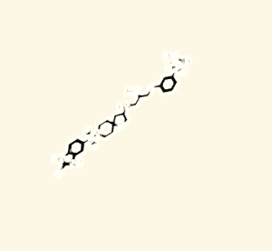 CNS(=O)(=O)c1cccc(OCC(O)CNC2COC3(CCN(S(=O)(=O)c4ccc5[nH]c(=O)[nH]c5c4)CC3)C2)c1